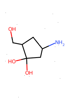 NC1CC(CO)C(O)(O)C1